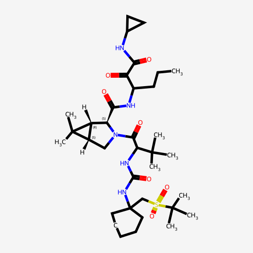 CCCC(NC(=O)[C@@H]1[C@@H]2[C@H](CN1C(=O)C(NC(=O)NC1(CS(=O)(=O)C(C)(C)C)CCCCC1)C(C)(C)C)C2(C)C)C(=O)C(=O)NC1CC1